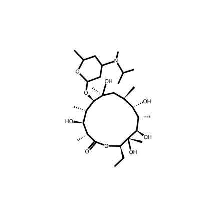 CC[C@H]1OC(=O)[C@H](C)[C@@H](O)[C@H](C)[C@@H](OC2CC(N(C)C(C)C)CC(C)O2)[C@@](C)(O)C[C@@H](C)[C@H](O)[C@H](C)[C@@H](O)[C@]1(C)O